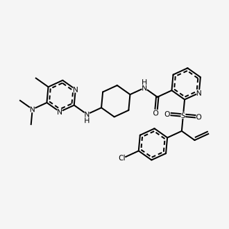 C=CC(c1ccc(Cl)cc1)S(=O)(=O)c1ncccc1C(=O)NC1CCC(Nc2ncc(C)c(N(C)C)n2)CC1